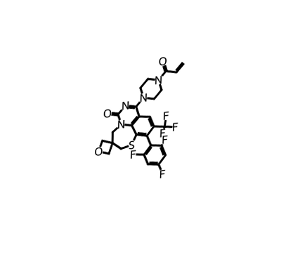 C=CC(=O)N1CCN(c2nc(=O)n3c4c(c(-c5c(F)cc(F)cc5F)c(C(F)(F)F)cc24)SCC2(COC2)C3)CC1